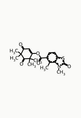 Cc1c(C(=O)OC2=CC(=O)C(C)(C)C(=O)C2(C)C)ccc2sc(=O)n(C)c12